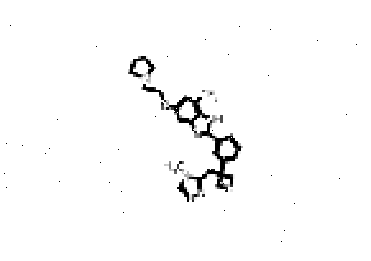 Cn1cnnc1CC1(c2cccc(-c3nc4cc(OCCN5CCCC5)cc(C(F)(F)F)c4[nH]3)c2)COC1